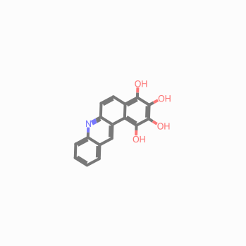 Oc1c(O)c(O)c2c(ccc3nc4ccccc4cc32)c1O